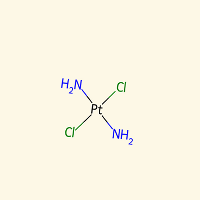 [NH2][Pt]([NH2])([Cl])[Cl]